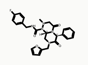 CN1CC(=O)N2[C@@H](c3ccccc3)C(=O)N(Cc3ccco3)C[C@@H]2N1C(=O)NCc1ccc(F)cc1